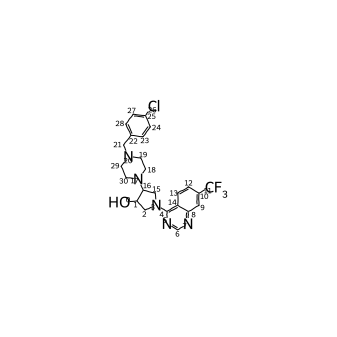 OC1CN(c2ncnc3cc(C(F)(F)F)ccc23)CC1N1CCN(Cc2ccc(Cl)cc2)CC1